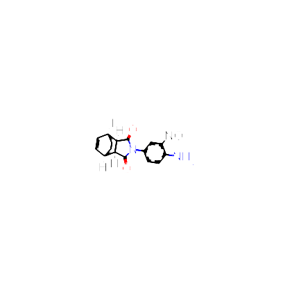 Nc1ccc(N2C(=O)[C@@H]3[C@H](C2=O)[C@@H]2C=C[C@H]3CC2)cc1[N+](=O)[O-]